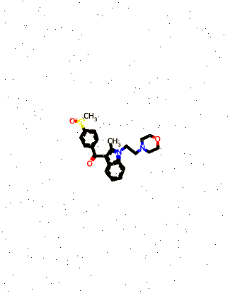 Cc1c(C(=O)c2ccc([S+](C)[O-])cc2)c2ccccc2n1CCN1CCOCC1